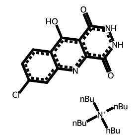 CCCC[N+](CCCC)(CCCC)CCCC.O=c1[nH][nH]c(=O)c2c(O)c3ccc(Cl)cc3nc12